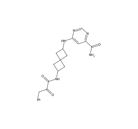 CC(C)CC(=O)C(=O)NC1CC2(C1)CC(Nc1cc(C(N)=O)ncn1)C2